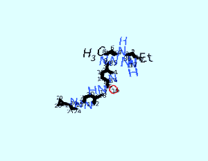 CCc1cc(Nc2cc(C)nc(-c3ccc(C(=O)NCc4ccc(-n5ccc(C6CC6)n5)nc4)nc3)n2)n[nH]1